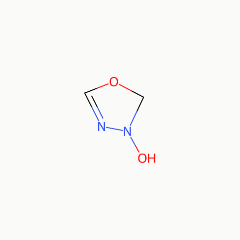 ON1COC=N1